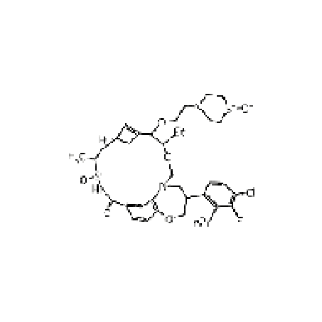 CCCc1c(C2COc3ccc4cc3N(CCC(CC)C(OCCN3CC[S+]([O-])CC3)C3=C[C@@H](C3)CC(C)[S+]([O-])NC4=O)C2)ccc(Cl)c1F